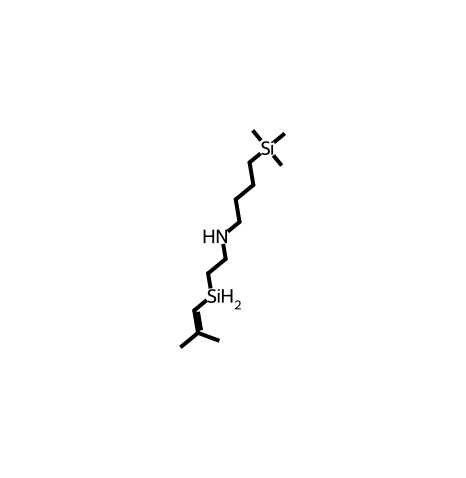 CC(C)=C[SiH2]CCNCCCC[Si](C)(C)C